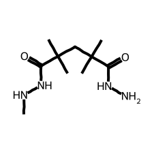 CNNC(=O)C(C)(C)CC(C)(C)C(=O)NN